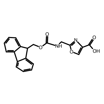 O=C(NCc1nc(C(=O)O)co1)OCC1c2ccccc2-c2ccccc21